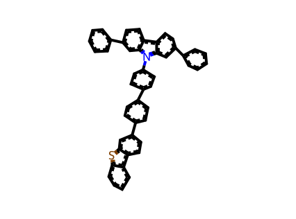 c1ccc(-c2ccc3c4ccc(-c5ccccc5)cc4n(-c4ccc(-c5ccc(-c6ccc7c(c6)sc6ccccc67)cc5)cc4)c3c2)cc1